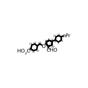 CCCC1CCC(c2ccc(OCC3CCC(C(=O)O)CC3)c(C=O)c2)CC1